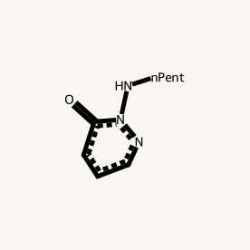 CCCCCNn1ncccc1=O